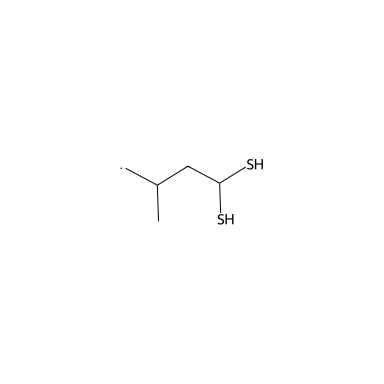 [CH2]C(C)CC(S)S